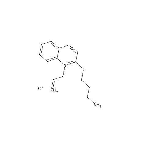 C=CC[n+]1c(CCCCC)ccc2ccccc21.[Cl-]